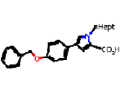 CCCCCCCn1cc(-c2ccc(OCc3ccccc3)cc2)cc1C(=O)O